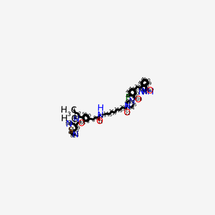 CCCC(c1ccc(CCC(=O)NCCCCCCCCC(=O)N2CCN(C(=O)c3cc(Cc4n[nH]c(=O)c5ccccc45)ccc3F)CC2)cc1)N(C)C(=O)/C(C#N)=C/c1nccs1